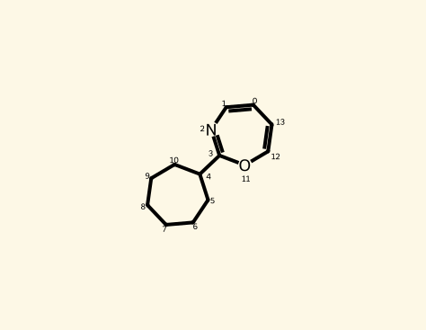 C1=CN=C(C2CCCCCC2)OC=C1